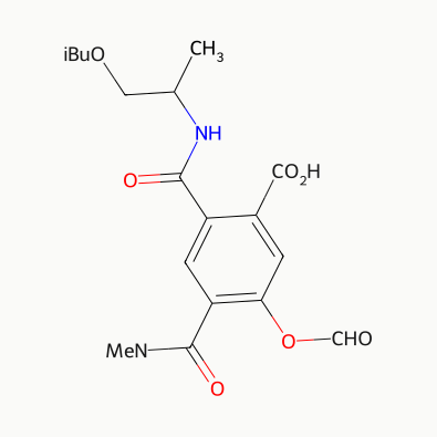 CNC(=O)c1cc(C(=O)NC(C)COCC(C)C)c(C(=O)O)cc1OC=O